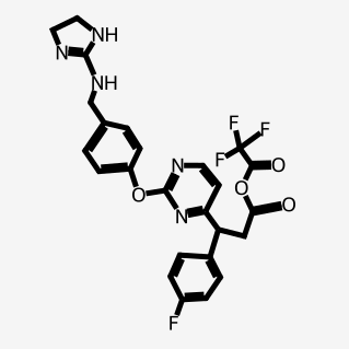 O=C(CC(c1ccc(F)cc1)c1ccnc(Oc2ccc(CNC3=NCCN3)cc2)n1)OC(=O)C(F)(F)F